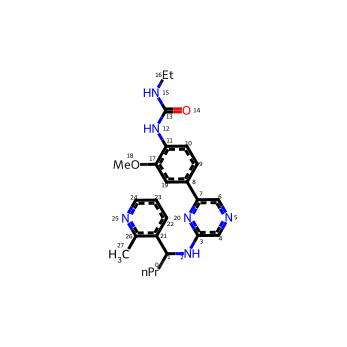 CCCC(Nc1cncc(-c2ccc(NC(=O)NCC)c(OC)c2)n1)c1cccnc1C